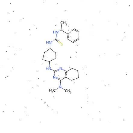 CC(NC(=S)NC1CCC(Nc2nc3c(c(N(C)C)n2)CCCC3)CC1)c1ccccc1